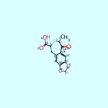 CC1SC(C(=O)O)Cc2cc3c(cc2C1=O)OCO3